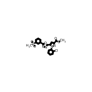 COC(=O)c1cc(-c2nnc(-c3cccc(S(C)(=O)=O)c3)o2)n(-c2ccccc2Cl)n1